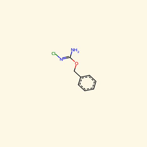 NC(=NCl)OCc1ccccc1